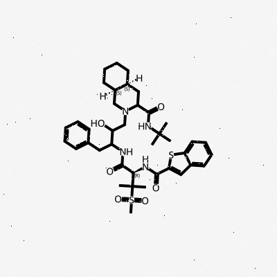 CC(C)(C)NC(=O)C1C[C@@H]2CCCC[C@@H]2CN1CC(O)C(Cc1ccccc1)NC(=O)[C@@H](NC(=O)c1cc2ccccc2s1)C(C)(C)S(C)(=O)=O